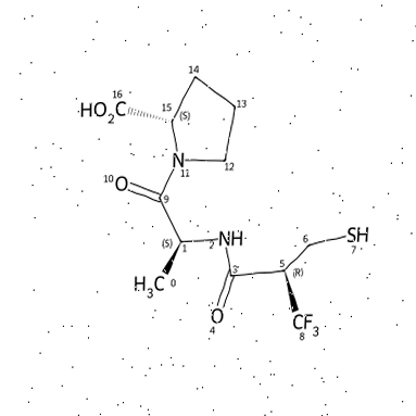 C[C@H](NC(=O)[C@@H](CS)C(F)(F)F)C(=O)N1CCC[C@H]1C(=O)O